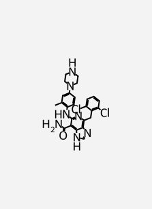 Cc1cc(N2CCNCC2)ccc1Nc1nc(Cc2c(Cl)cccc2Cl)c2nc[nH]c2c1C(N)=O